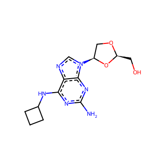 Nc1nc(NC2CCC2)c2ncn([C@H]3CO[C@@H](CO)O3)c2n1